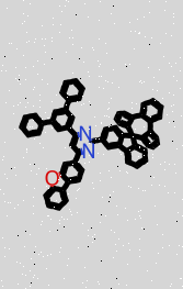 c1ccc(-c2cc(-c3ccccc3)cc(-c3cc(-c4ccc5c(c4)oc4ccccc45)nc(-c4ccc5c(c4)-c4ccccc4C54c5ccccc5-c5ccccc5-c5ccccc54)n3)c2)cc1